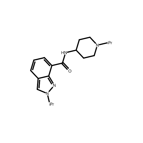 CC(C)N1CCC(NC(=O)c2cccc3cn(C(C)C)nc23)CC1